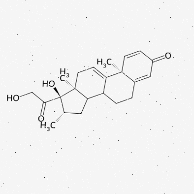 C[C@H]1CC2C3CCC4=CC(=O)C=C[C@]4(C)C3=CC[C@]2(C)[C@@]1(O)C(=O)CO